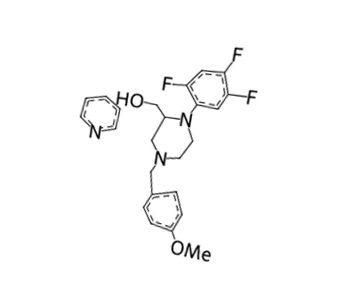 COc1ccc(CN2CCN(c3cc(F)c(F)cc3F)C(CO)C2)cc1.c1ccncc1